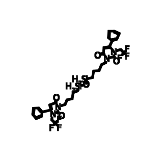 O=c1cc(-c2ccccc2)n(CC(F)(F)F)c(=O)n1CCCCC[SiH2]O[SiH2]CCCCCn1c(=O)cc(-c2ccccc2)n(CC(F)(F)F)c1=O